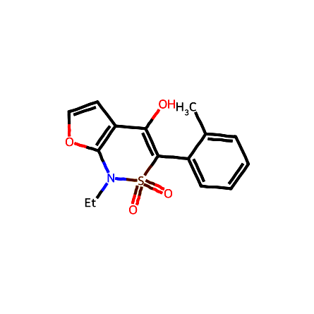 CCN1c2occc2C(O)=C(c2ccccc2C)S1(=O)=O